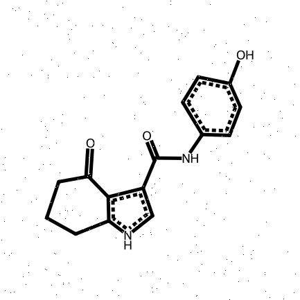 O=C(Nc1ccc(O)cc1)c1c[nH]c2c1C(=O)CCC2